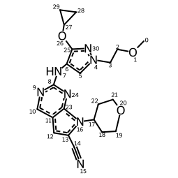 COCCn1cc(Nc2ncc3cc(C#N)n(C4CCOCC4)c3n2)c(OC2CC2)n1